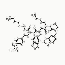 CC(=O)CN(Cc1ccc2c(c1)OCO2)C(=O)CN(CCCCN)C(=O)CN(Cc1ccc2c(c1)OCO2)C(=O)CN(CCc1ccc(S(N)(=O)=O)cc1)C(=O)CNCCCCN